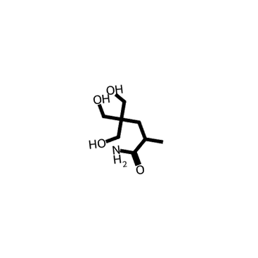 CC(CC(CO)(CO)CO)C(N)=O